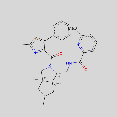 COc1cccc(C(=O)NC[C@@H]2[C@H]3CC(C)C[C@H]3CN2C(=O)c2nc(C)sc2-c2cccc(C)c2)n1